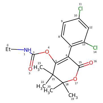 CCNC(=O)OC1=C(c2ccc(Cl)cc2Cl)C(=O)OC(C)(C)C1(C)C